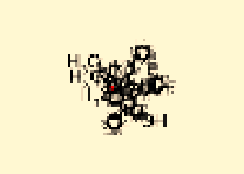 CC[C@@H](C)C1(NC(C)=O)CCN(C(CCc2ccccc2)C(=O)N[C@@H](Cc2cc(F)cc(F)c2)[C@H](O)[C@H]2C[C@H](O)CN2C(c2ccccc2)c2ccccc2)C1=O